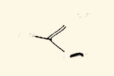 CC(=O)OC(N)=O.[NaH]